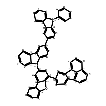 c1ccc(-n2c3ccccc3c3cc(-c4ccc5c(c4)c4ccccc4n5-c4cc(-c5ccc6c(c5)-c5cccc7cccc-6c57)c5sc6ccccc6c5c4)ccc32)cc1